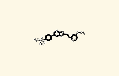 COc1ccnc(C=Cc2nc3ncc(-c4ccc(S(=O)(=O)N(C)C)cc4)cc3o2)c1